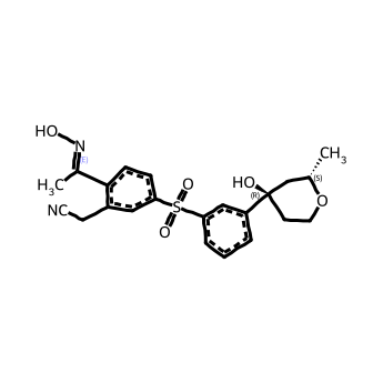 C/C(=N\O)c1ccc(S(=O)(=O)c2cccc([C@@]3(O)CCO[C@@H](C)C3)c2)cc1CC#N